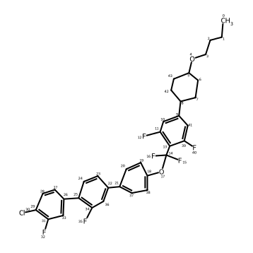 CCCCOC1CCC(c2cc(F)c(C(F)(F)Oc3ccc(-c4ccc(-c5ccc(Cl)c(F)c5)c(F)c4)cc3)c(F)c2)CC1